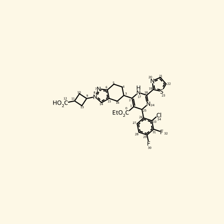 CCOC(=O)C1=C(C2CCc3nn(C4CC(C(=O)O)C4)cc3C2)NC(c2nccs2)=NC1c1ccc(F)c(F)c1Cl